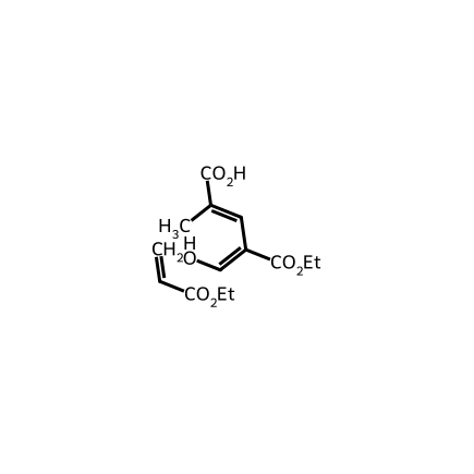 C=CC(=O)OCC.CCOC(=O)C(C=C(C)C(=O)O)=CO